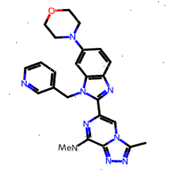 CNc1nc(-c2nc3ccc(N4CCOCC4)cc3n2Cc2cccnc2)cn2c(C)nnc12